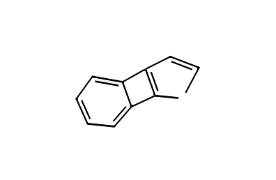 [c]1csc2c1-c1ccccc1-2